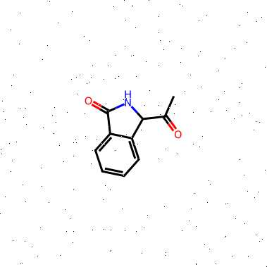 CC(=O)C1NC(=O)c2ccccc21